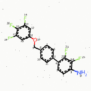 Nc1ccc(-c2ccc(COc3cc(F)c(F)c(F)c3)cc2)c(F)c1F